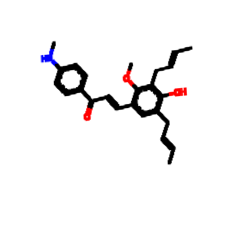 CC=CCc1cc(C=CC(=O)c2ccc(NC)cc2)c(OC)c(CC=CC)c1O